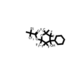 CCC(C)(C(=O)OC1(C(F)(F)F)OC(C)(C(F)(F)F)C(F)(F)C(O)(C2CCCCC2)C1(F)F)C(F)(F)F